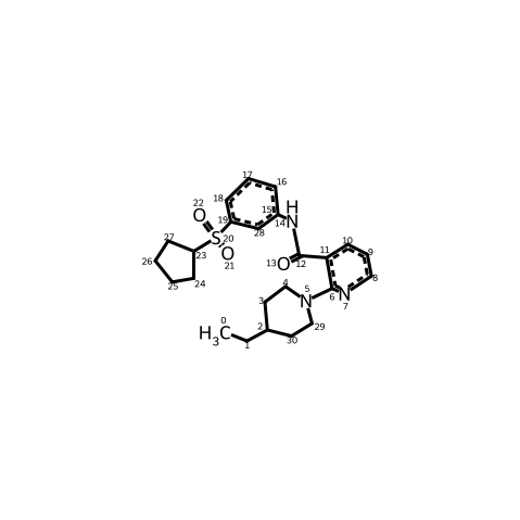 CCC1CCN(c2ncccc2C(=O)Nc2cccc(S(=O)(=O)C3CCCC3)c2)CC1